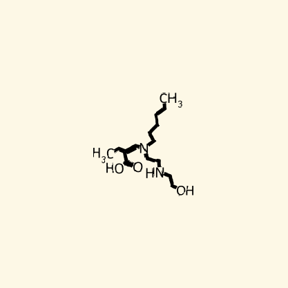 CCCCCCN(C=C(CC)C(=O)O)CCNCCO